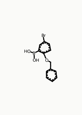 OB(O)c1cc(Br)ccc1OCc1ccccc1